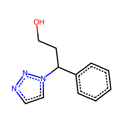 OCCC(c1ccccc1)n1ccnn1